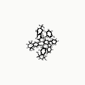 CC(C)(C)c1ccc2sc3c(c2c1)N(c1ccccc1)c1c2c(c4c5ccccc5n5c6ccccc6c1c45)N(c1ccc4c(c1)C(C)(C)CCC4(C)C)c1cc4c(cc1B32)C(C)(C)CCC4(C)C